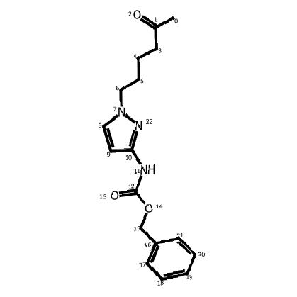 CC(=O)CCCCn1ccc(NC(=O)OCc2ccccc2)n1